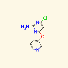 Nc1nc(Cl)cc(Oc2cccnc2)n1